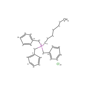 CCCCCCC[P+](Cc1ccccc1)(Cc1ccccc1)Cc1ccccc1.[Cl-]